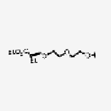 CCOC(=O)C(=COCCOCCO)CC